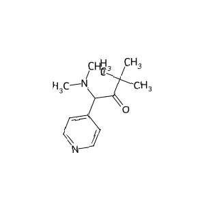 CN(C)C(C(=O)C(C)(C)C)c1ccncc1